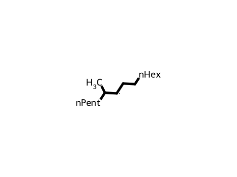 CCCCCCCC[CH]C(C)CCCCC